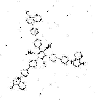 N#Cc1c(-c2ccc(-c3ccc(-n4ccc(=O)c5ccccc54)cc3)cc2)c(C#N)c(-c2ccc(-c3ccc(-n4ccc(=O)c5ccccc54)cc3)cc2)c(C#N)c1-c1ccc(-c2ccc(-n3ccc(=O)c4ccccc43)cc2)cc1